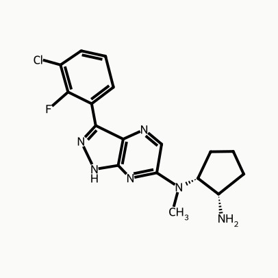 CN(c1cnc2c(-c3cccc(Cl)c3F)n[nH]c2n1)[C@@H]1CCC[C@@H]1N